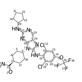 NC(=O)[C@H]1CC[C@H](n2c(Nc3c(Cl)cc(OC(F)(F)F)cc3Cl)nc3cnc(NC4CCCC4)nc32)CC1